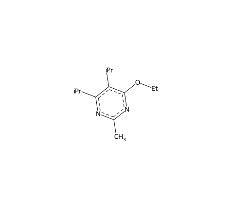 CCOc1nc(C)nc(C(C)C)c1C(C)C